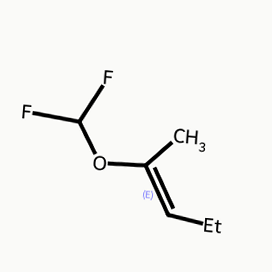 CC/C=C(\C)OC(F)F